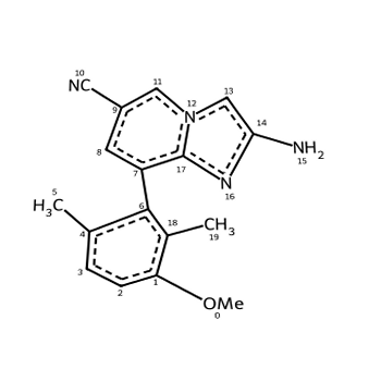 COc1ccc(C)c(-c2cc(C#N)cn3cc(N)nc23)c1C